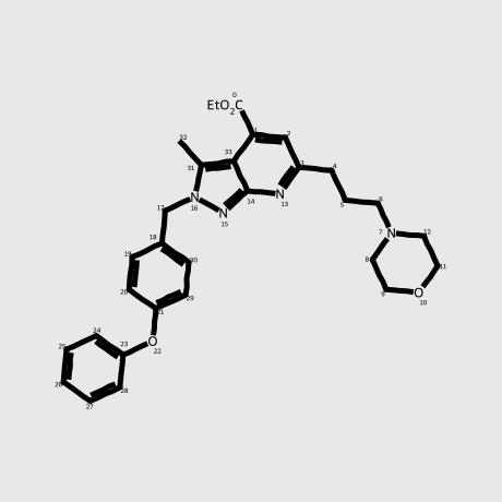 CCOC(=O)c1cc(CCCN2CCOCC2)nc2nn(Cc3ccc(Oc4ccccc4)cc3)c(C)c12